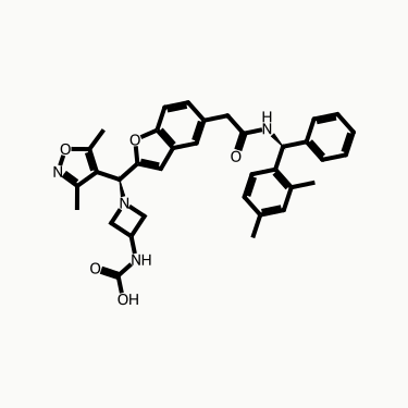 Cc1ccc([C@@H](NC(=O)Cc2ccc3oc([C@H](c4c(C)noc4C)N4CC(NC(=O)O)C4)cc3c2)c2ccccc2)c(C)c1